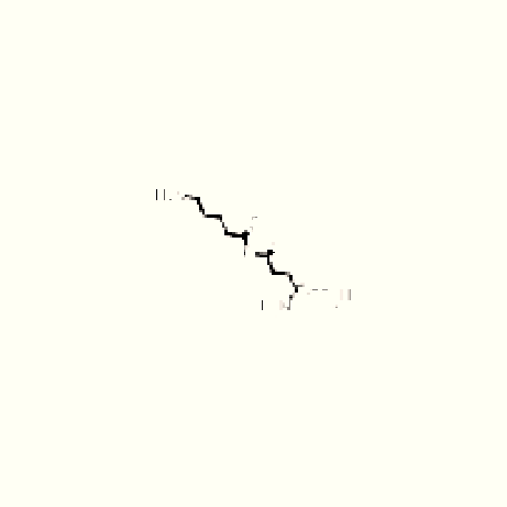 NCCCCC(=O)OC(=O)CC[C@@H](N)C(=O)O